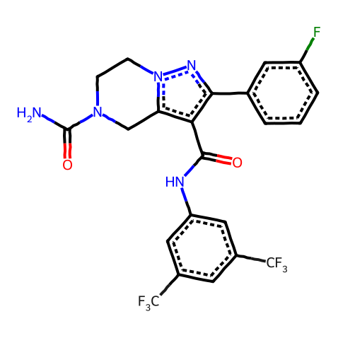 NC(=O)N1CCn2nc(-c3cccc(F)c3)c(C(=O)Nc3cc(C(F)(F)F)cc(C(F)(F)F)c3)c2C1